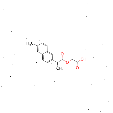 Cc1ccc2cc(C(C)C(=O)OCC(=O)O)ccc2c1